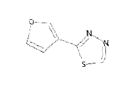 c1cc(-c2nncs2)co1